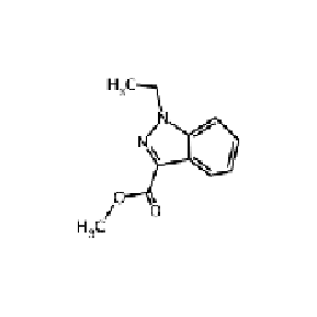 CCn1nc(C(=O)OC)c2ccccc21